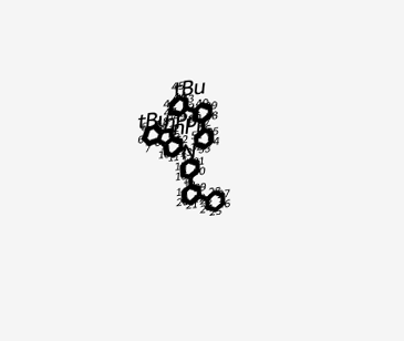 CCCC1(CCC)c2ccccc2-c2ccc(N(c3ccc(-c4cccc(C5CCCCC5)c4)cc3)c3cccc(-c4cccc(-c5cc(C(C)(C)C)cc(C(C)(C)C)c5)c4)c3)cc21